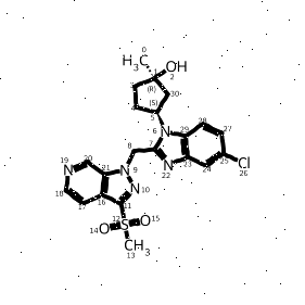 C[C@@]1(O)CC[C@H](n2c(Cn3nc(S(C)(=O)=O)c4ccncc43)nc3cc(Cl)ccc32)C1